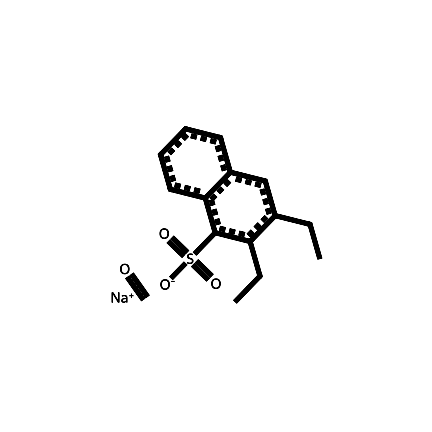 C=O.CCc1cc2ccccc2c(S(=O)(=O)[O-])c1CC.[Na+]